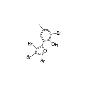 Cc1cc(Br)c(O)c(-c2oc(Br)c(Br)c2Br)c1